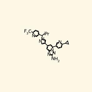 CC(C)C(c1ccc(C(F)(F)F)nc1)n1cc(-c2cc(-c3ccc(C4CC4)nc3)n3nc(N)nc3c2)cn1